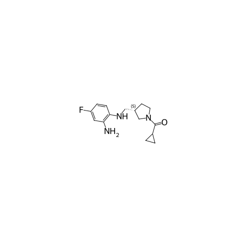 Nc1cc(F)ccc1NC[C@@H]1CCN(C(=O)C2CC2)C1